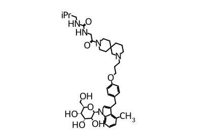 Cc1cccc2c1c(Cc1ccc(OCCCN3CCCC4(CCN(C(=O)CNC(=O)NCC(C)C)CC4)C3)cc1)cn2[C@@H]1O[C@H](CO)[C@@H](O)[C@@H](O)[C@@H]1O